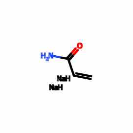 C=CC(N)=O.[NaH].[NaH]